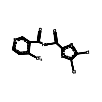 O=C(NC(=O)c1cnccc1C(F)(F)F)c1nc(Cl)c(Cl)s1